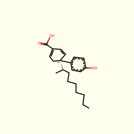 CCCCCCCC(C)[C@@]1(c2ccc(O)cc2)C=CC(C(=O)O)=CC1